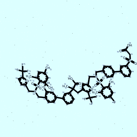 COc1cc(-c2cccc(C(C)(Cc3cc(CN(Cc4ccc(-c5cccc(S(=O)(=O)CC(=O)O)c5)cc4)S(=O)(=O)c4c(C)cc(F)cc4C)oc3C(F)(F)F)C(=O)O)c2)ccc1CN(Cc1ccc(C(F)(F)F)o1)S(=O)(=O)c1c(C)cc(C)cc1C